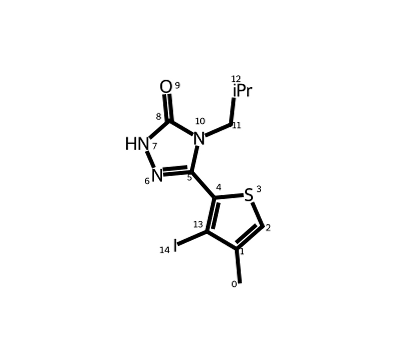 Cc1csc(-c2n[nH]c(=O)n2CC(C)C)c1I